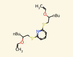 C=COC(CCCC)CSc1cccc(SCC(CCCC)OC=C)n1